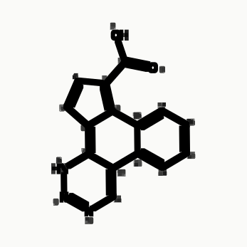 O=C(O)c1ccc2c3[nH]nncc3c3ccccc3c12